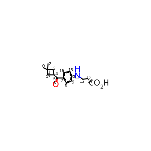 CC1(C)CC(C(=O)c2ccc(NCCC(=O)O)cc2)C1